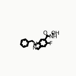 O=C(NO)c1cc2c(cnn2Cc2ccccc2)cc1F